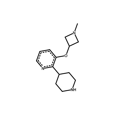 CN1CC(Oc2cccnc2C2CCNCC2)C1